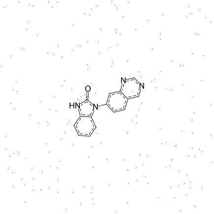 O=c1[nH]c2ccccc2n1-c1ccc2cncnc2c1